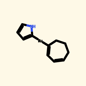 C1=CCCC[C]([Ru][c]2ccc[nH]2)=C1